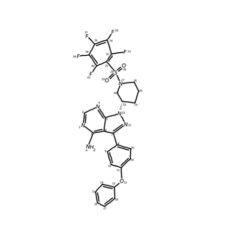 Nc1ncnc2c1c(-c1ccc(Oc3ccccc3)cc1)nn2[C@H]1CCCN(S(=O)(=O)c2c(F)c(F)c(F)c(F)c2F)C1